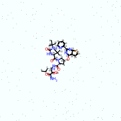 CCC[C@H](NC(=O)[C@@H]1C[C@@H](Oc2nc(-c3ccccn3)nc3sccc23)CN1C(=O)[C@@H](NC(=O)NC(C)(C)C)C(C)(C)C)C(=O)C(N)=O